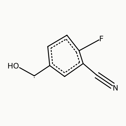 N#Cc1cc([CH]O)ccc1F